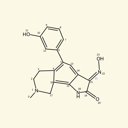 CN1CCc2c(-c3cccc(O)c3)cc3c(c2C1)NC(=O)/C3=N/O